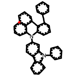 c1ccc(-c2cccc(N(c3ccccc3)c3ccc4c5ccccc5n(-c5ccccc5)c4c3)c2-c2ccccc2)cc1